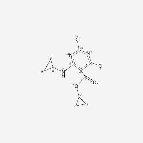 O=C(OC1CC1)c1c(Cl)nc(Cl)nc1NC1CC1